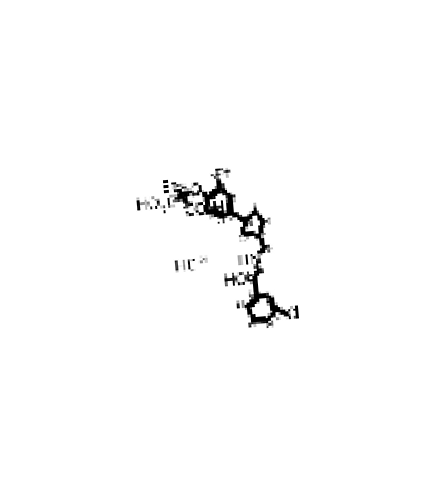 CCc1cc(C2CCC(CNC[C@H](O)c3cccc(Cl)c3)C2)ccc1OC(CC)(C(=O)O)C(=O)O.Cl